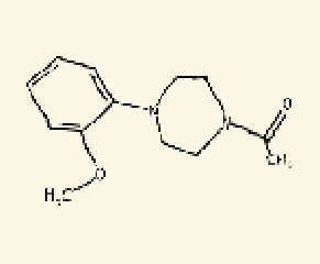 COc1ccccc1N1CCN(C(C)=O)CC1